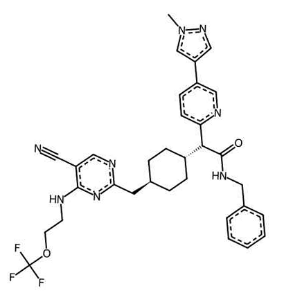 Cn1cc(-c2ccc(C(C(=O)NCc3ccccc3)[C@H]3CC[C@H](Cc4ncc(C#N)c(NCCOC(F)(F)F)n4)CC3)nc2)cn1